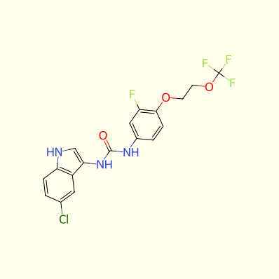 O=C(Nc1ccc(OCCOC(F)(F)F)c(F)c1)Nc1c[nH]c2ccc(Cl)cc12